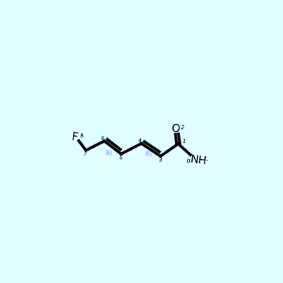 [NH]C(=O)/C=C/C=C/CF